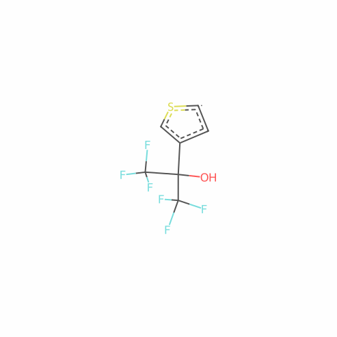 OC(c1c[c]sc1)(C(F)(F)F)C(F)(F)F